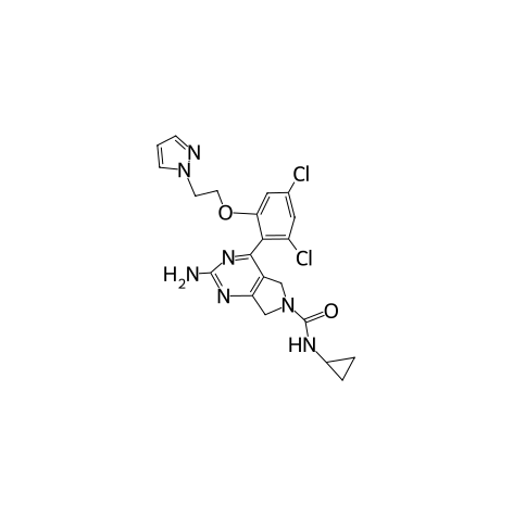 Nc1nc2c(c(-c3c(Cl)cc(Cl)cc3OCCn3cccn3)n1)CN(C(=O)NC1CC1)C2